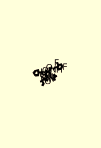 C=CC(C)NC(=O)c1c(OCc2ccccc2)c(=O)c(C(=O)NCc2ccc(F)cc2F)cn1NC(C)C(=C)C